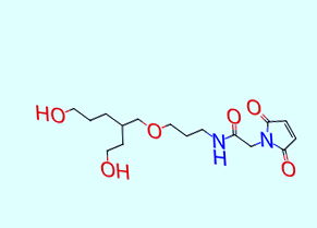 O=C(CN1C(=O)C=CC1=O)NCCCOCC(CCO)CCCO